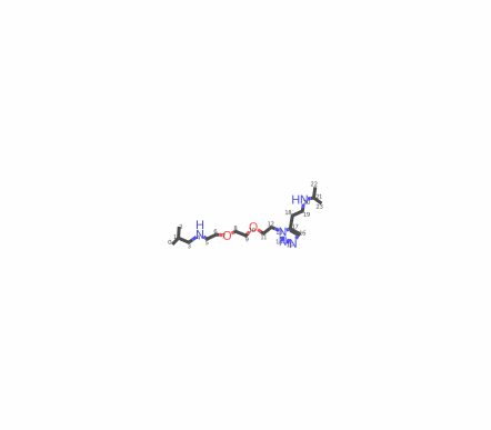 CC(C)CNCCOCCOCCn1nncc1CCNC(C)C